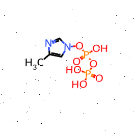 Cc1cn(OP(=O)(O)OP(=O)(O)O)cn1